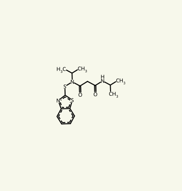 CC(C)NC(=O)CC(=O)N(Sc1nc2ccccc2s1)C(C)C